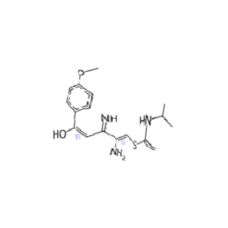 C=C(NC(C)C)S/C=C(\N)C(=N)/C=C(/O)c1ccc(OC)cc1